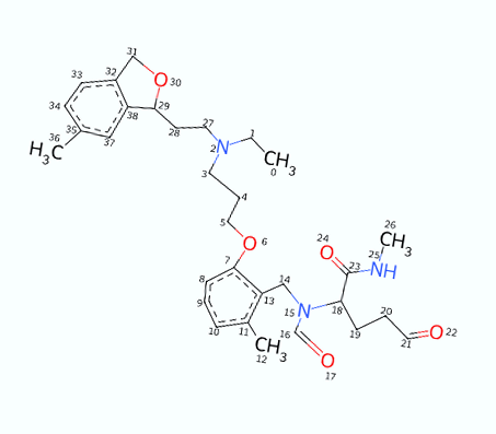 CCN(CCCOc1cccc(C)c1CN(C=O)C(CCC=O)C(=O)NC)CCC1OCc2ccc(C)cc21